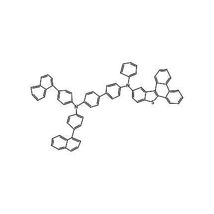 c1ccc(N(c2ccc(-c3ccc(N(c4ccc(-c5cccc6ccccc56)cc4)c4ccc(-c5cccc6ccccc56)cc4)cc3)cc2)c2ccc3sc4c5ccccc5c5ccccc5c4c3c2)cc1